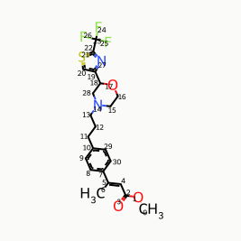 COC(=O)C=C(C)c1ccc(CCCN2CCOC(c3csc(C(F)(F)F)n3)C2)cc1